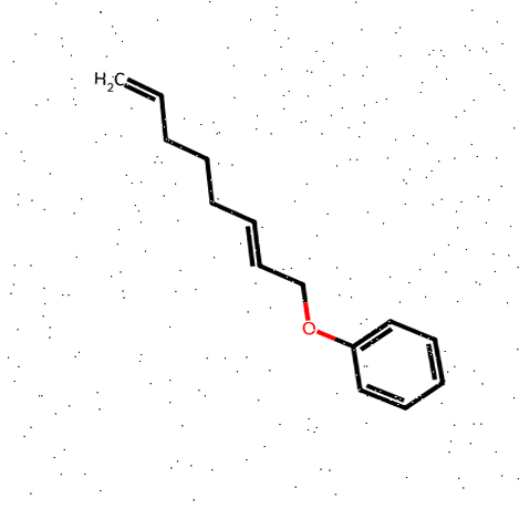 C=CCCCC=CCOc1ccccc1